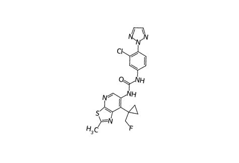 Cc1nc2c(C3(CF)CC3)c(NC(=O)Nc3ccc(-n4nccn4)c(Cl)c3)cnc2s1